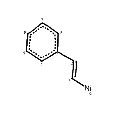 [Ni][CH]=Cc1ccccc1